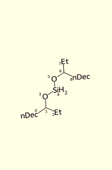 CCCCCCCCCCC(CC)O[SiH2]OC(CC)CCCCCCCCCC